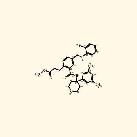 COC(=O)CCc1ccc(COc2ccccc2F)cc1C(=O)NC1(c2cc(C)cc(C)c2)CCOCC1